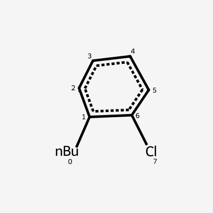 CCCCc1[c]cccc1Cl